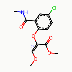 CNC(=O)c1cc(Cl)ccc1O/C(=C/OC)C(=O)OC